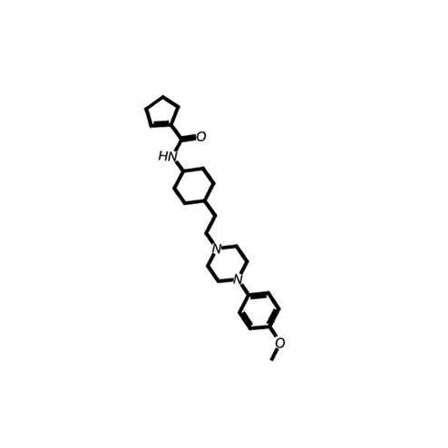 COc1ccc(N2CCN(CCC3CCC(NC(=O)C4=CCCC4)CC3)CC2)cc1